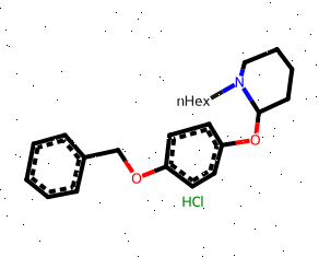 CCCCCCN1CCCCC1Oc1ccc(OCc2ccccc2)cc1.Cl